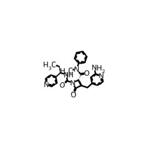 CC[C@@H](NC(=O)N1C(=O)C(Cc2ccnc(N)c2)[C@H]1C(=O)N(C)c1ccccc1)c1ccncc1